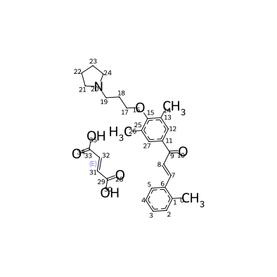 Cc1ccccc1C=CC(=O)c1cc(C)c(OCCCN2CCCC2)c(C)c1.O=C(O)/C=C/C(=O)O